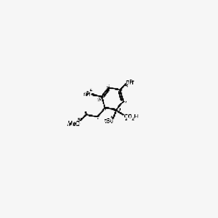 CCCC1=CC(C(=O)O)(C(C)(C)C)C(CCOC)C(CCC)=C1